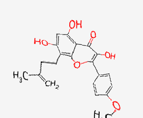 C=C(C)CCc1c(O)cc(O)c2c(=O)c(O)c(-c3ccc(OC)cc3)oc12